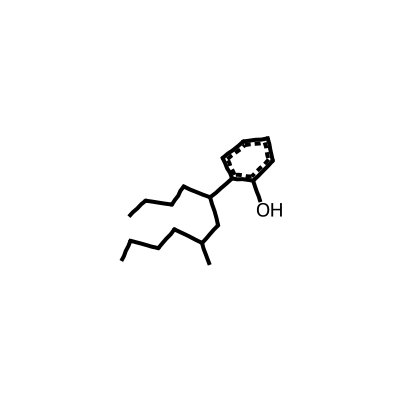 CCCCC(C)CC(CCCC)c1ccccc1O